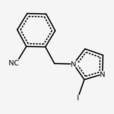 N#Cc1ccccc1Cn1ccnc1I